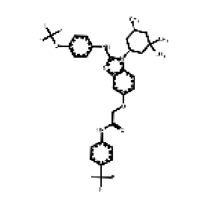 C[C@@H]1C[C@H](n2c(Nc3ccc(OC(F)(F)F)cc3)nc3cc(OCC(=O)Nc4ccc(C(F)(F)F)cc4)ccc32)CC(C)(C)C1